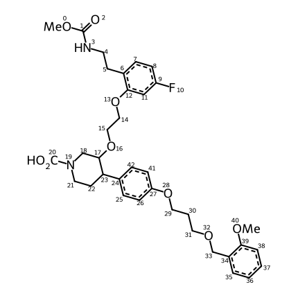 COC(=O)NCCc1ccc(F)cc1OCCOC1CN(C(=O)O)CCC1c1ccc(OCCCOCc2ccccc2OC)cc1